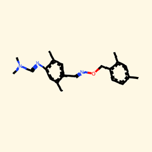 Cc1ccc(CON=Cc2cc(C)c(N=CN(C)C)cc2C)c(C)c1